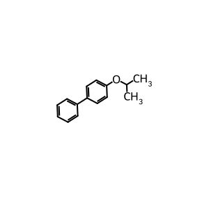 CC(C)Oc1ccc(-c2ccccc2)cc1